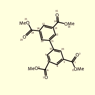 COC(=O)c1cc(C(=O)OC)cc(-c2cc(C(=O)OC)cc(C(=O)OC)c2)c1